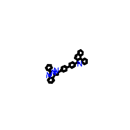 c1ccc(-c2nc3ccccc3c3cc(-c4ccc(-c5ccc(-c6nc7ccccc7c7c6ccc6ccccc67)cc5)cc4)nn23)cc1